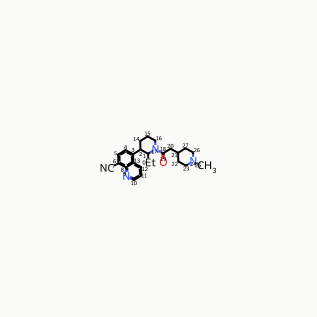 CCC1C(c2ccc(C#N)c3ncccc23)CCCN1C(=O)CC1CCN(C)CC1